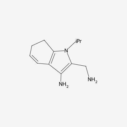 CC(C)n1c(CN)c(N)c2c1CCC=C2